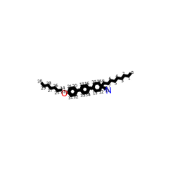 CCCCCCCCCC1(C#N)CCC(c2ccc(-c3ccc(OCCCCCCC)cc3)cc2)CC1